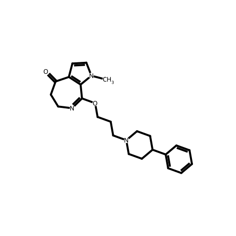 Cn1ccc2c1C(OCCCN1CCC(c3ccccc3)CC1)=NCCC2=O